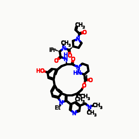 C=CC(=O)N1CC[C@H](C(=O)N(C)[C@H](C(=O)N[C@H]2Cc3cc(O)cc(c3)-c3ccc4c(c3)c(c(-c3cncc(CN(C)C)c3)n4CC)CC(C)(C)COC(=O)[C@@H]3CCCN(N3)C2=O)C(C)C)C1